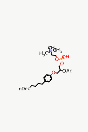 CCCCCCCCCCCCCCc1ccc(OCC(COP(O)OCC[N+](C)(C)C)OC(C)=O)cc1